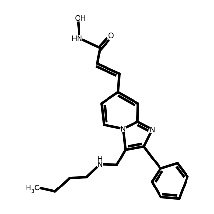 CCCCNCc1c(-c2ccccc2)nc2cc(/C=C/C(=O)NO)ccn12